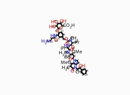 CC[C@H](C)[C@@H]([C@@H](CC(=O)N1CCCC1[C@H](OC)[C@@H](C)C(=O)N[C@H](C)[C@@H](O)c1ccccc1)OC)N(C)C(=O)[C@@H](NC(=O)[C@H](C(C)C)N(C)C(=O)OCc1ccc(O[C@@H]2O[C@H](C(=O)O)[C@@H](O)[C@H](O)[C@H]2O)c(NC(=O)CCN)c1)C(C)C